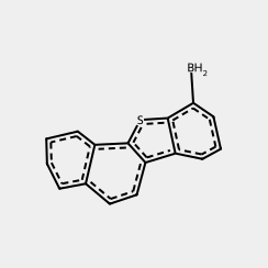 Bc1cccc2c1sc1c3ccccc3ccc21